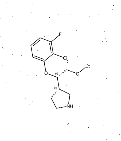 CCOC[C@@H](Oc1cccc(F)c1Cl)[C@H]1CCNC1